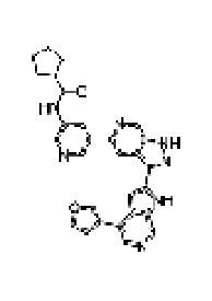 O=C(Nc1cncc(-c2cc3c(-c4cc5c(-c6ccoc6)cncc5[nH]4)n[nH]c3cn2)c1)C1CCCC1